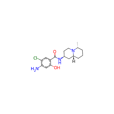 C[C@@H]1CCC[C@@H]2C[C@@H](NC(=O)c3cc(Cl)c(N)cc3O)CCN21